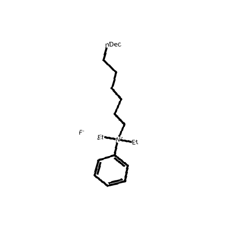 CCCCCCCCCCCCCCCC[N+](CC)(CC)c1ccccc1.[F-]